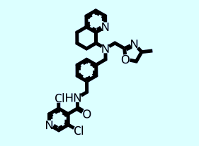 CC1COC(CN(Cc2cccc(CNC(=O)c3c(Cl)cncc3Cl)c2)C2CCCc3cccnc32)=N1